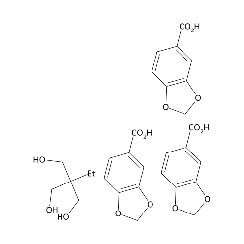 CCC(CO)(CO)CO.O=C(O)c1ccc2c(c1)OCO2.O=C(O)c1ccc2c(c1)OCO2.O=C(O)c1ccc2c(c1)OCO2